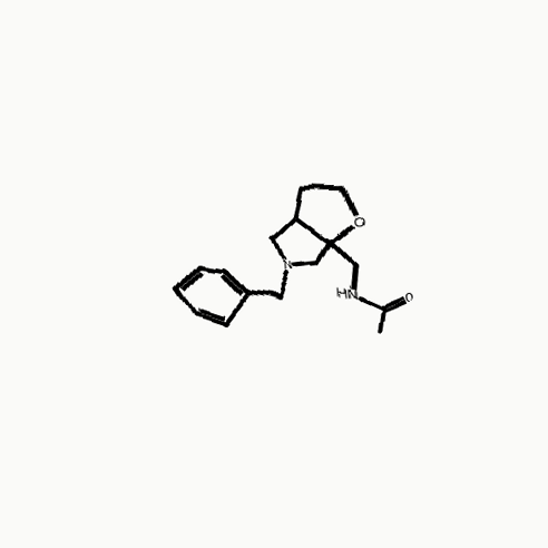 CC(=O)NCC12CN(Cc3ccccc3)CC1CCO2